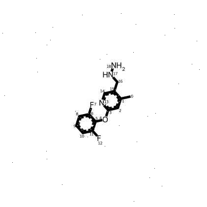 Cc1cc(Oc2c(F)cccc2F)ncc1CNN